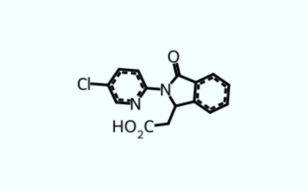 O=C(O)CC1c2ccccc2C(=O)N1c1ccc(Cl)cn1